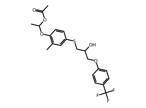 CC(=O)OC(C)Oc1ccc(SCC(O)COc2ccc(C(F)(F)F)cc2)cc1C